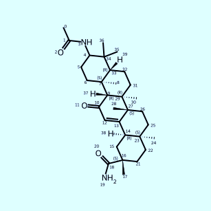 CC(=O)NC1CC[C@]2(C)[C@H]3C(=O)C=C4[C@@H]5C[C@@](C)(C(N)=O)CC[C@]5(C)CC[C@@]4(C)[C@]3(C)CC[C@H]2C1(C)C